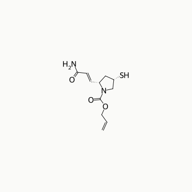 C=CCOC(=O)N1C[C@@H](S)C[C@H]1/C=C/C(N)=O